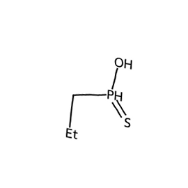 CCC[PH](O)=S